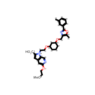 COCCOc1cc2cc(C(=O)O)n(CCOC3CCCC(OCc4nc(-c5cccc(C)c5)oc4C)C3)c2cn1